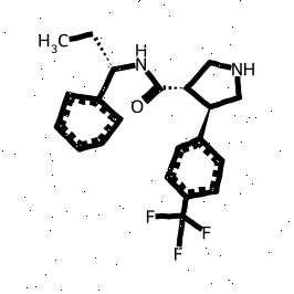 CC[C@H](NC(=O)[C@@H]1CNC[C@H]1c1ccc(C(F)(F)F)cc1)c1ccccc1